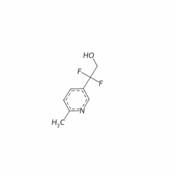 Cc1ccc(C(F)(F)CO)cn1